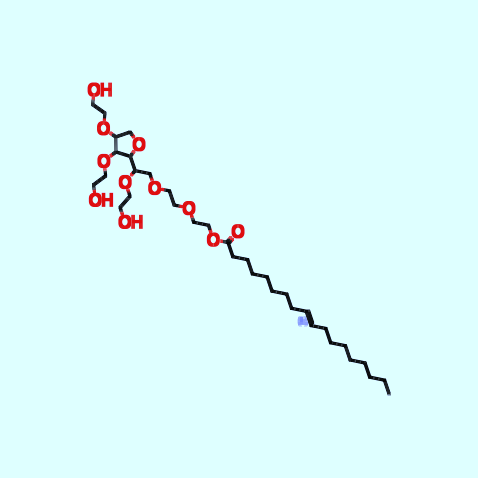 CCCCCCCC/C=C/CCCCCCCC(=O)OCCOCCOCC(OCCO)C1OCC(OCCO)C1OCCO